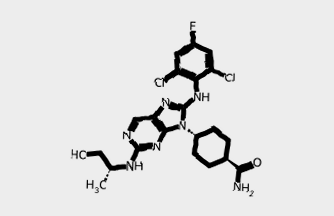 C[C@H](CO)Nc1ncc2nc(Nc3c(Cl)cc(F)cc3Cl)n([C@H]3CC[C@H](C(N)=O)CC3)c2n1